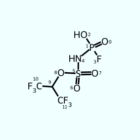 O=P(O)(F)NS(=O)(=O)OC(C(F)(F)F)C(F)(F)F